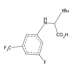 CC(C)(C)C(Nc1cc(F)cc(C(F)(F)F)c1)C(=O)O